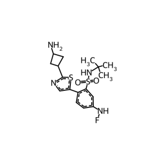 CC(C)(C)NS(=O)(=O)c1cc(NF)ccc1-c1cnc(C2CC(N)C2)s1